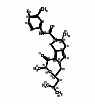 Cc1cc(NC(=O)N2Cc3c(nn4c3C(=O)N(C)O[C@H](CN(C)C)C4)C[C@H]2C)ccc1F